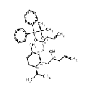 C=CC[C@@H](O)C[C@@H]1[C@@H](C(C)C)CC=C(C)[C@@H]1C[C@@H](CC=C)O[Si](c1ccccc1)(c1ccccc1)C(C)(C)C